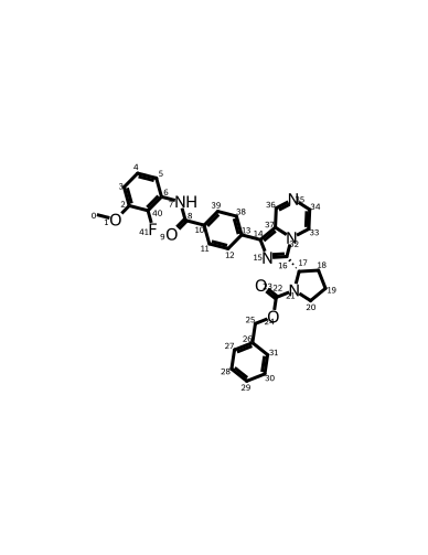 COc1cccc(NC(=O)c2ccc(-c3nc([C@@H]4CCCN4C(=O)OCc4ccccc4)n4ccncc34)cc2)c1F